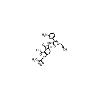 C#CCO/N=C(\C(=O)NC1C(=O)N2C(C(=O)O)=C(CSc3nnnn3C)CS[C@H]12)c1cccc(N)n1